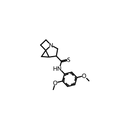 COc1ccc(OC)c(NC(=S)C2CN3CCC34CC24)c1